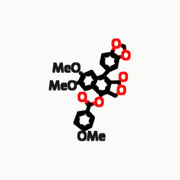 COc1ccc(C(=O)Oc2c3c(c(-c4ccc5c(c4)OCO5)c4cc(OC)c(OC)cc24)C(=O)OC3)cc1